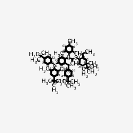 C=C(SC1=CCC(C)(C(C)(C)C)C=C1CC)B(c1ccc(N(c2ccc(C(C)(C)C)cc2)c2c(C)cc(C(C)(C)C)cc2C)cc1Cc1ccc(C(C)(C)C)cc1)c1c(C)cc(C)cc1C